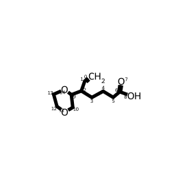 C=CC(CCCC(=O)O)C1COCCO1